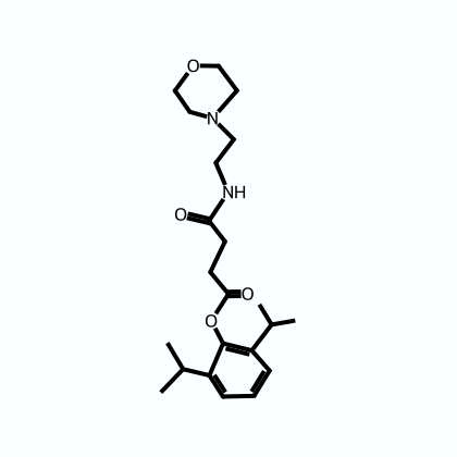 CC(C)c1cccc(C(C)C)c1OC(=O)CCC(=O)NCCN1CCOCC1